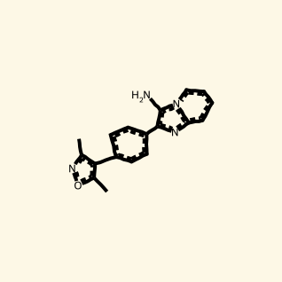 Cc1noc(C)c1-c1ccc(-c2nc3ccccn3c2N)cc1